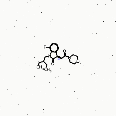 CCC(CC)CN1C(=O)/C(=C/C(=O)N2CCOCC2)c2cccc(F)c21